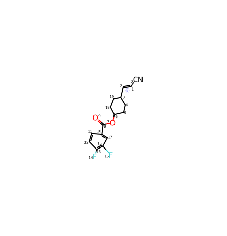 N#C/C=C/C1CCC(OC(=O)c2ccc(F)c(F)c2)CC1